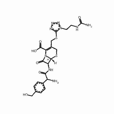 NC(=O)NCCn1nnnc1SCC1=C(C(=O)O)N2C(=O)C(NC(=O)C(N)c3ccc(CO)cc3)[C@H]2SC1